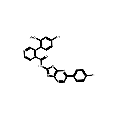 COc1cc(C#N)ccc1-c1cnccc1C(=O)Nc1nc2ncc(-c3ccc(C#N)cc3)nc2s1